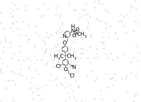 CC(C)(c1ccc(OCc2cc(NS(C)(=O)=O)ccn2)cc1)c1cc(Cl)c(OCCCl)c(C#N)c1